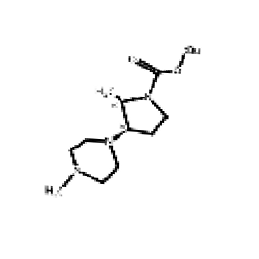 C[C@@H]1[C@H](N2CCN(C)CC2)CCN1C(=O)OC(C)(C)C